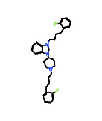 Fc1ccccc1CCCCN1CCC(N2CN(CCCCc3ccccc3F)c3ccccc32)CC1